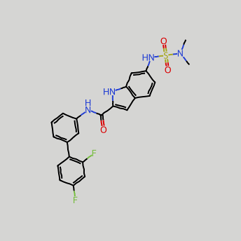 CN(C)S(=O)(=O)Nc1ccc2cc(C(=O)Nc3cccc(-c4ccc(F)cc4F)c3)[nH]c2c1